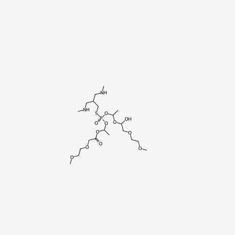 CNCC(CNC)CSP(=O)(OC(C)OC(=O)COCCOC)OC(C)OC(O)COCCOC